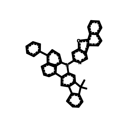 CC1(C)c2ccccc2-c2cc(-c3ccccc3)c(N(c3ccc(-c4ccccc4)cc3)c3cc4oc5c6ccccc6ccc5c4cn3)cc21